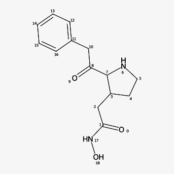 O=C(CC1CCNC1C(=O)Cc1ccccc1)NO